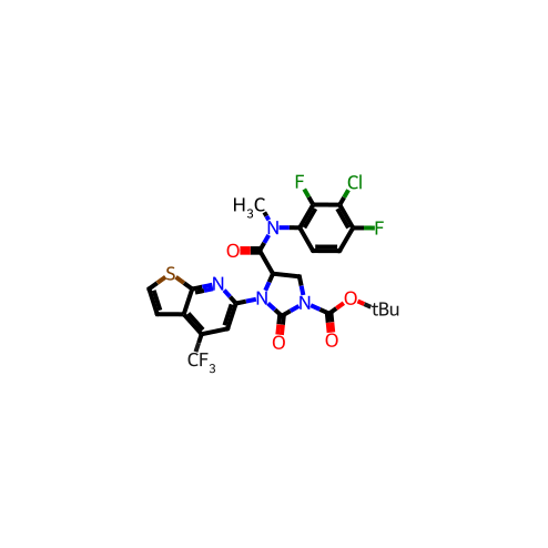 CN(C(=O)C1CN(C(=O)OC(C)(C)C)C(=O)N1c1cc(C(F)(F)F)c2ccsc2n1)c1ccc(F)c(Cl)c1F